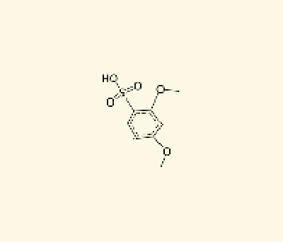 COc1[c]cc(S(=O)(=O)O)c(OC)c1